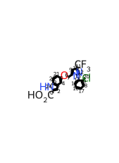 O=C(O)c1cc2cc(OCc3cc(C(F)(F)F)nn3-c3ccccc3Cl)ccc2[nH]1